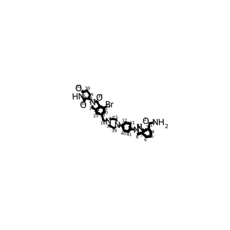 NC(=O)c1cccc2cn(-c3ccc(N4CCN(Cc5cc(Br)c6c(c5)CN(C5CCC(=O)NC5=O)C6=O)CC4)cc3)nc12